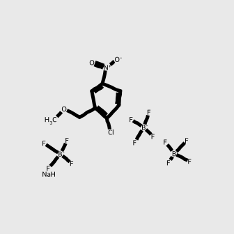 COCc1cc([N+](=O)[O-])ccc1Cl.F[B-](F)(F)F.F[B-](F)(F)F.F[B-](F)(F)F.[NaH]